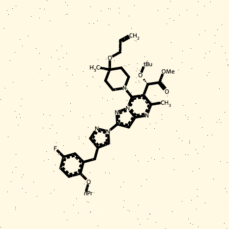 C=CCOC1(C)CCN(c2c([C@H](OC(C)(C)C)C(=O)OC)c(C)nc3cc(-n4cc(Cc5cc(F)ccc5OCCC)cn4)nn23)CC1